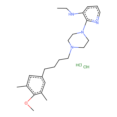 CCNc1cccnc1N1CCN(CCCCc2cc(C)c(OC)c(C)c2)CC1.Cl.Cl